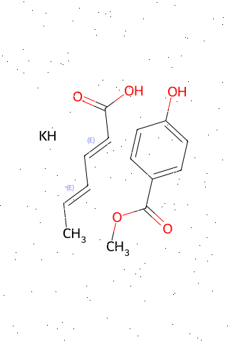 C/C=C/C=C/C(=O)O.COC(=O)c1ccc(O)cc1.[KH]